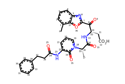 Cc1cccc2nc(C(=O)[C@H](CC(=O)O)NC(=O)[C@H](C)n3cccc(NC(=O)CCc4ccccc4)c3=O)oc12